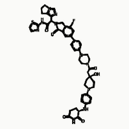 O=C1CCC(Nc2ccc(N3CCC(O)(CC(=O)N4CCN(c5ccc(-c6cc(F)c7c(c6)C(=O)N(C(C(=O)Nc6nccs6)c6ncn8c6CCC8)C7)cc5)CC4)CC3)cc2)C(=O)N1